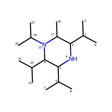 CC(C)C1NC(C(C)C)C(C(C)C)N(C(C)C)C1C